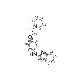 c1ccc2sc(Nc3ccc(OCCN4CCCCC4)cc3)nc2c1